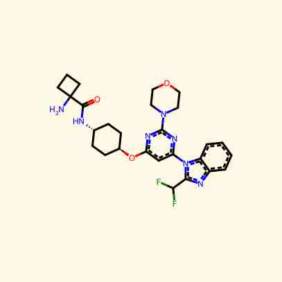 NC1(C(=O)N[C@H]2CC[C@H](Oc3cc(-n4c(C(F)F)nc5ccccc54)nc(N4CCOCC4)n3)CC2)CCC1